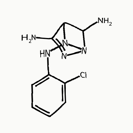 NC1=NN2C(N)C1N2Nc1ccccc1Cl